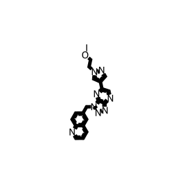 IOCCn1cc(-c2cnc3nnn(Cc4ccc5ncccc5c4)c3n2)cn1